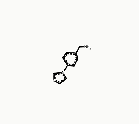 NCc1[c]cc(-n2ccnc2)cc1